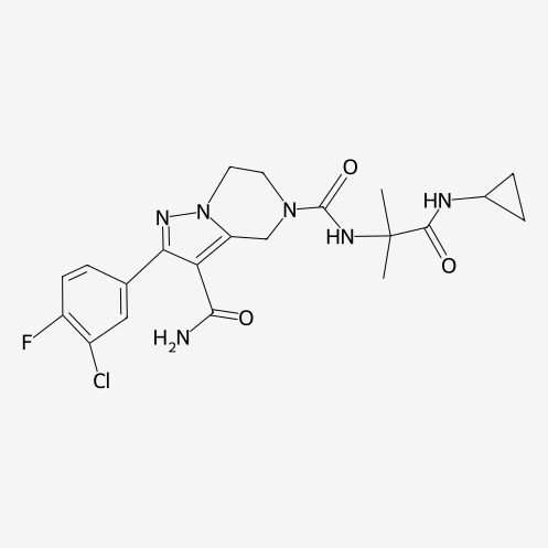 CC(C)(NC(=O)N1CCn2nc(-c3ccc(F)c(Cl)c3)c(C(N)=O)c2C1)C(=O)NC1CC1